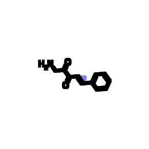 NCC(=O)C(=O)/C=C/c1ccccc1